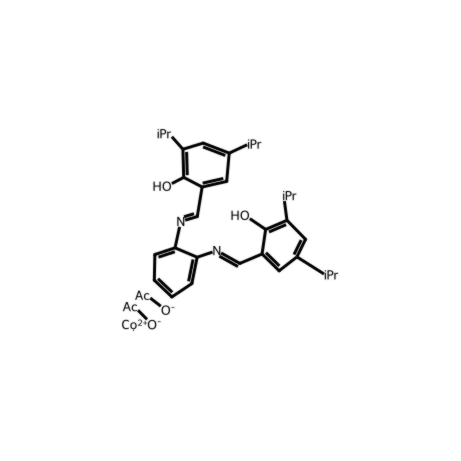 CC(=O)[O-].CC(=O)[O-].CC(C)c1cc(C=Nc2ccccc2N=Cc2cc(C(C)C)cc(C(C)C)c2O)c(O)c(C(C)C)c1.[Co+2]